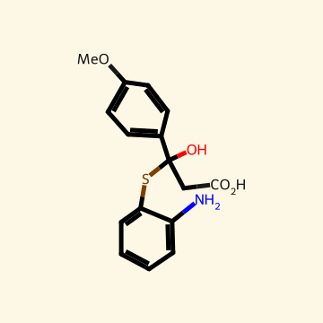 COc1ccc(C(O)(CC(=O)O)Sc2ccccc2N)cc1